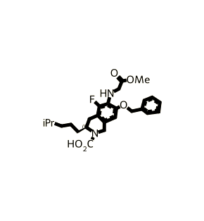 COC(=O)CNc1c(OCc2ccccc2)cc2c(c1F)C[C@H](CCCC(C)C)N(C(=O)O)C2